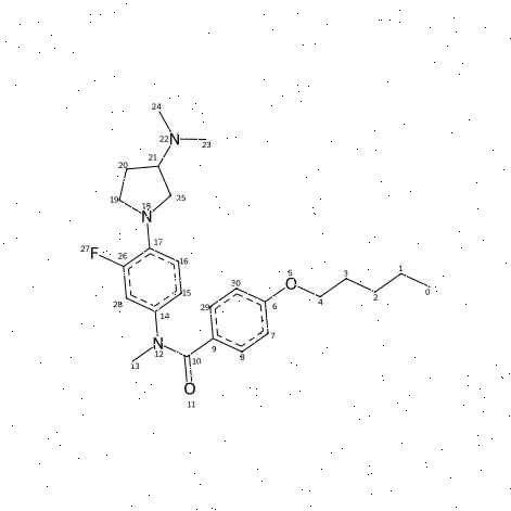 CCCCCOc1ccc(C(=O)N(C)c2ccc(N3CCC(N(C)C)C3)c(F)c2)cc1